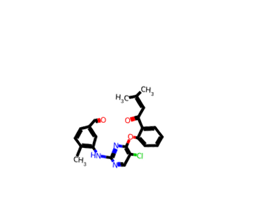 CC(C)=CC(=O)c1ccccc1Oc1nc(Nc2cc(C=O)ccc2C)ncc1Cl